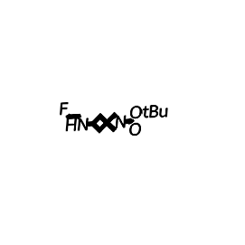 CC(C)(C)OC(=O)N1CC2(CC(NCCF)C2)C1